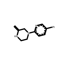 C=C1CN(c2ccc(C(C)C)cn2)CCN1